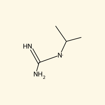 CC(C)[N]C(=N)N